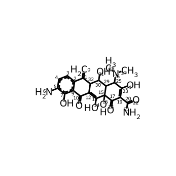 C=C1c2ccc(N)c(O)c2C(=O)C2=C(O)C3(O)C(=O)C(C(N)=O)=C(O)C(N(C)C)C3C(O)C12